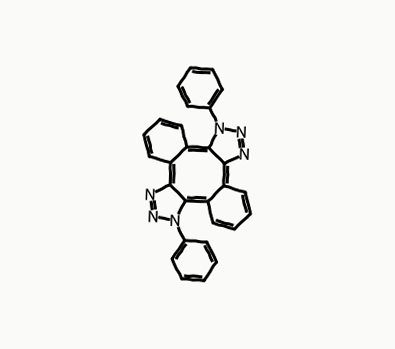 c1ccc(-n2nnc3/c2=c2/cccc/c2=c2\nnn(-c4ccccc4)\c2=c2/cccc/c2=3)cc1